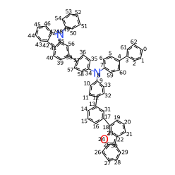 c1ccc(-c2ccc(N(c3ccc(-c4cccc(-c5cccc6c5oc5ccccc56)c4)cc3)c3ccc(-c4ccc5c6ccccc6n(-c6ccccc6)c5c4)cc3)cc2)cc1